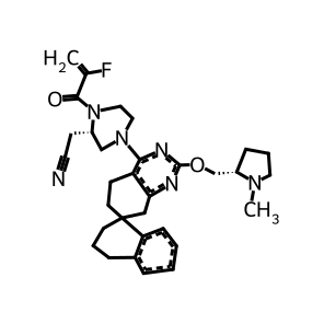 C=C(F)C(=O)N1CCN(c2nc(OC[C@@H]3CCCN3C)nc3c2CCC2(CCCc4ccccc42)C3)C[C@@H]1CC#N